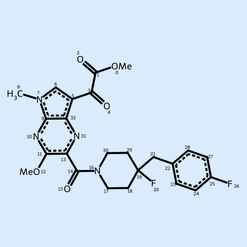 COC(=O)C(=O)c1cn(C)c2nc(OC)c(C(=O)N3CCC(F)(Cc4ccc(F)cc4)CC3)nc12